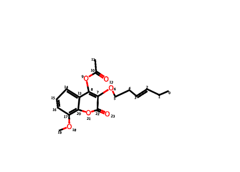 CCC=CCCOc1c(OC(C)=O)c2cccc(OC)c2oc1=O